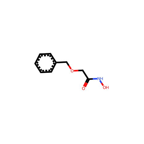 O=C(COCc1ccccc1)NO